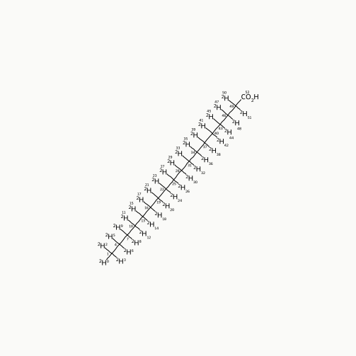 [2H]C([2H])([2H])C([2H])([2H])C([2H])([2H])C([2H])([2H])C([2H])([2H])C([2H])([2H])C([2H])([2H])C([2H])([2H])C([2H])([2H])C([2H])([2H])C([2H])([2H])C([2H])([2H])C([2H])([2H])C([2H])([2H])C([2H])([2H])C([2H])([2H])C([2H])([2H])C(=O)O